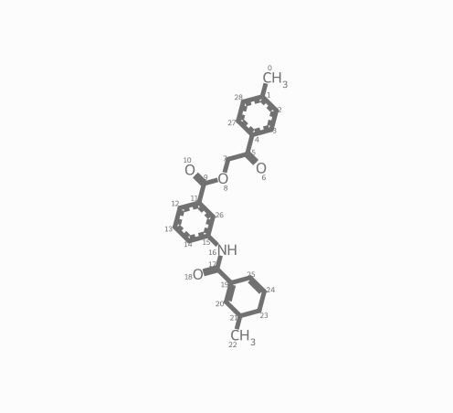 Cc1ccc(C(=O)COC(=O)c2cccc(NC(=O)C3=CC(C)CC=C3)c2)cc1